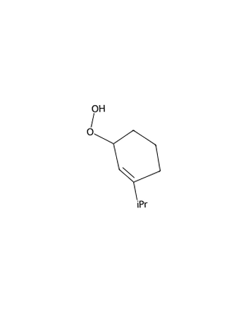 CC(C)C1=CC(OO)CCC1